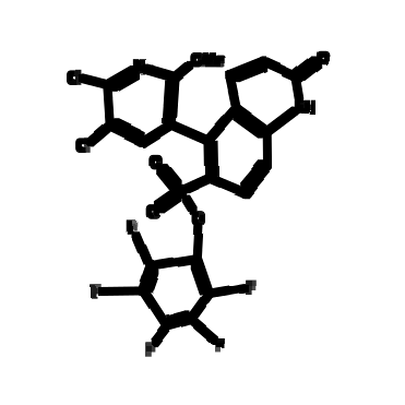 COc1nc(Cl)c(Cl)cc1-c1c(S(=O)(=O)Oc2c(F)c(F)c(F)c(F)c2F)ccc2[nH]c(=O)ccc12